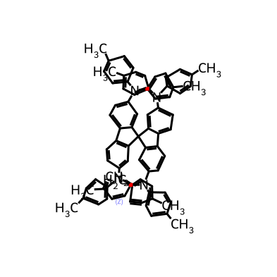 C=C(C)/C=C\C(=C)N(c1ccc(C)cc1)c1ccc2c(c1)C1(c3cc(N(c4c#cc(C)cc4)c4ccc(C)cc4)ccc3-c3ccc(N(c4ccc(C)cc4)c4ccc(C)cc4)cc31)c1cc(N(c3ccc(C)cc3)c3ccc(C)cc3)ccc1-2